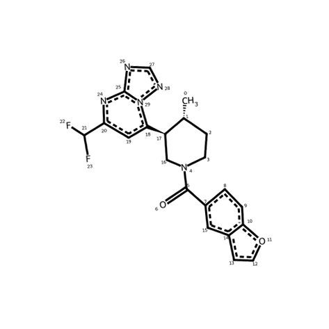 C[C@@H]1CCN(C(=O)c2ccc3occc3c2)C[C@H]1c1cc(C(F)F)nc2ncnn12